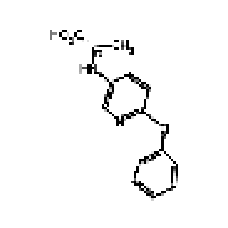 C[C@H](Nc1ccc(Oc2ccccc2)nc1)C(=O)O